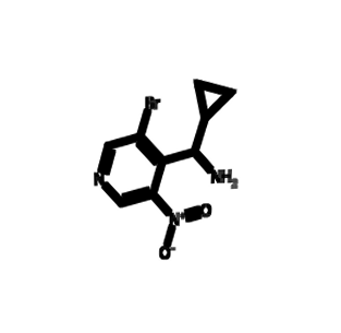 NC(c1c(Br)cncc1[N+](=O)[O-])C1CC1